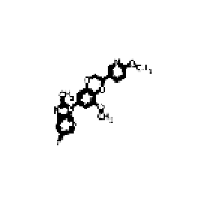 COc1ccc(C2COc3cc(-n4c(C)nc5cc(I)cnc54)cc(OC)c3O2)cn1